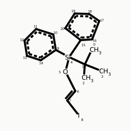 CC(C)(C)[Si](OC=CI)(c1ccccc1)c1ccccc1